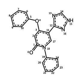 O=c1cc(Oc2ccccc2)c(-c2nc[nH]n2)cn1-c1ccccc1